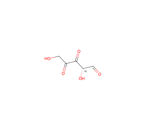 O=C[C@H](O)C(=O)C(=O)CO